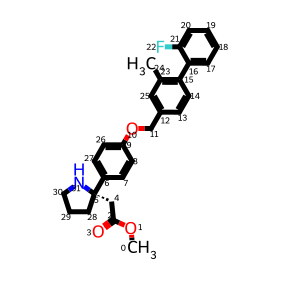 COC(=O)C[C@]1(c2ccc(OCc3ccc(-c4ccccc4F)c(C)c3)cc2)CCCN1